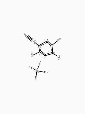 F[B-](F)(F)F.N#[N+]c1cc(F)c(Cl)cc1Cl